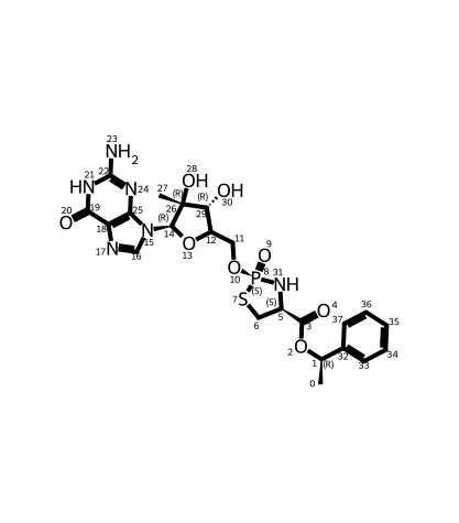 C[C@@H](OC(=O)[C@H]1CS[P@@](=O)(OCC2O[C@@H](n3cnc4c(=O)[nH]c(N)nc43)[C@](C)(O)[C@@H]2O)N1)c1ccccc1